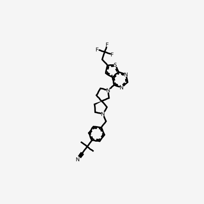 CC(C)(C#N)c1ccc(CN2CC[C@]3(CCN(c4ncnc5sc(CC(F)(F)F)cc45)C3)C2)cc1